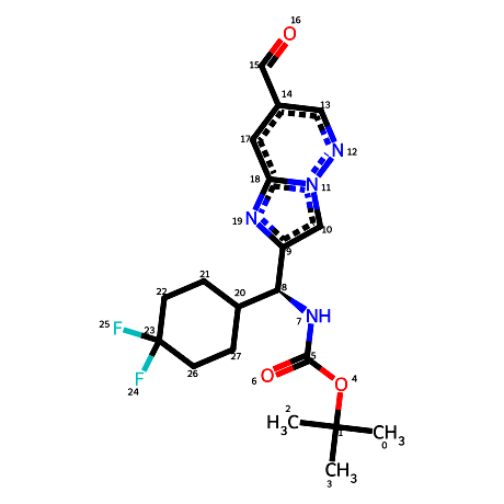 CC(C)(C)OC(=O)N[C@H](c1cn2ncc(C=O)cc2n1)C1CCC(F)(F)CC1